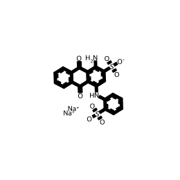 Nc1c(S(=O)(=O)[O-])cc(Nc2ccccc2S(=O)(=O)[O-])c2c1C(=O)c1ccccc1C2=O.[Na+].[Na+]